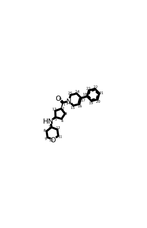 O=C([C@H]1CCC(NC2CCOCC2)C1)N1CC=C(c2ccccc2)CC1